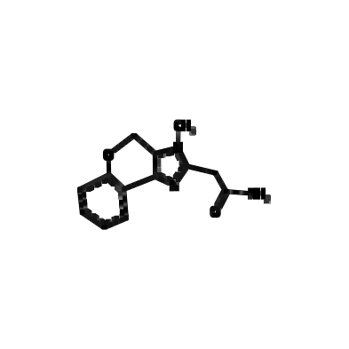 Cn1c(CC(N)=O)nc2c1COc1ccccc1-2